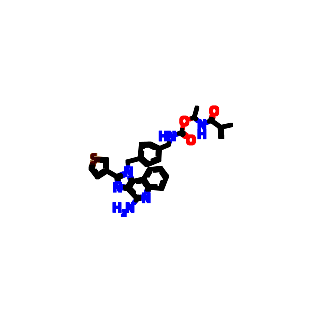 C=C(C)C(=O)NC(C)OC(=O)NCc1ccc(Cn2c(-c3ccsc3)nc3c(N)nc4ccccc4c32)cc1